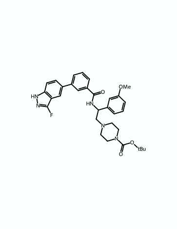 COc1cccc(C(CN2CCN(C(=O)OC(C)(C)C)CC2)NC(=O)c2cccc(-c3ccc4[nH]nc(F)c4c3)c2)c1